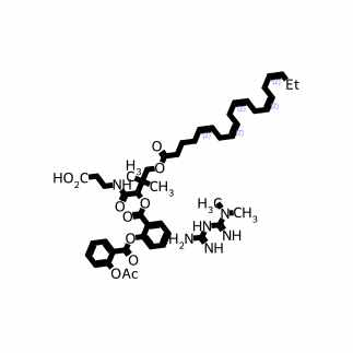 CC/C=C\C/C=C\C/C=C\C/C=C\C/C=C\CCCC(=O)OCC(C)(C)C(OC(=O)c1ccccc1OC(=O)c1ccccc1OC(C)=O)C(=O)NCCC(=O)O.CN(C)C(=N)NC(=N)N